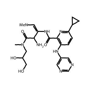 CN/C=C(/NC(=O)c1nc(C2CC2)ccc1Nc1cncnc1)C(N)C(=O)N(C)CC(O)CO